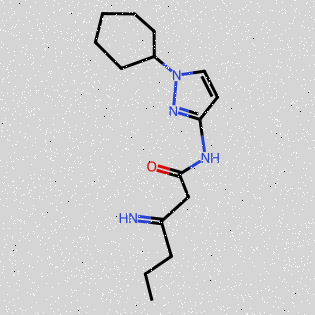 CCCC(=N)CC(=O)Nc1ccn(C2CCCCC2)n1